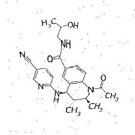 CC(=O)N1c2ccc(C(=O)NCC(C)O)cc2[C@H](Nc2ccc(C#N)cn2)[C@@H](C)[C@@H]1C